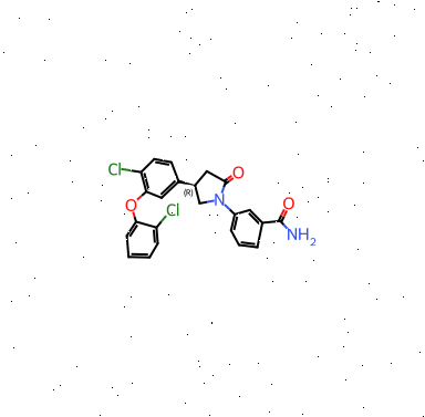 NC(=O)c1cccc(N2C[C@@H](c3ccc(Cl)c(Oc4ccccc4Cl)c3)CC2=O)c1